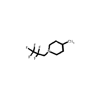 CC1CCN(CC(F)(F)C(F)(F)F)CC1